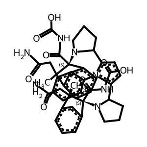 CC1(CC(N)=O)c2cccc(c2)[C@]1(C(=O)NC(=O)O)N1CCCC1c1ccc(C2CCCN2[C@@]2(C(=O)NC(=O)O)c3cccc(c3)C2(C)CC(N)=O)n1-c1ccc(F)cc1